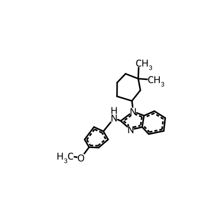 COc1ccc(Nc2nc3ccccc3n2C2CCCC(C)(C)C2)cc1